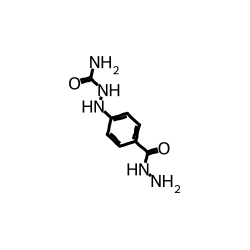 NNC(=O)c1ccc(NNC(N)=O)cc1